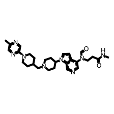 CNC(=O)CCN(C=O)c1cncc2c1ccn2C1CCN(CC2CCN(c3cnc(C)cn3)CC2)CC1